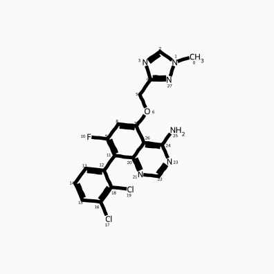 Cn1cnc(COc2cc(F)c(-c3cccc(Cl)c3Cl)c3ncnc(N)c23)n1